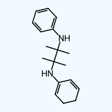 CC(C)(NC1=CCCC=C1)C(C)(C)Nc1ccccc1